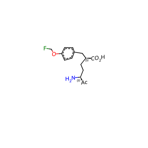 CC(=O)[C@@H](N)CC[C@@H](Cc1ccc(OCF)cc1)C(=O)O